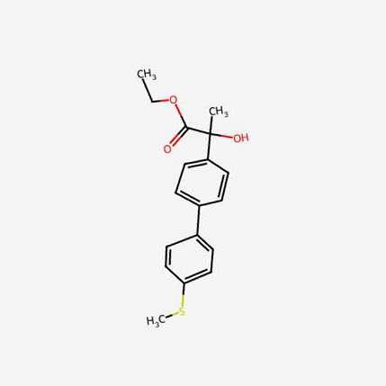 CCOC(=O)C(C)(O)c1ccc(-c2ccc(SC)cc2)cc1